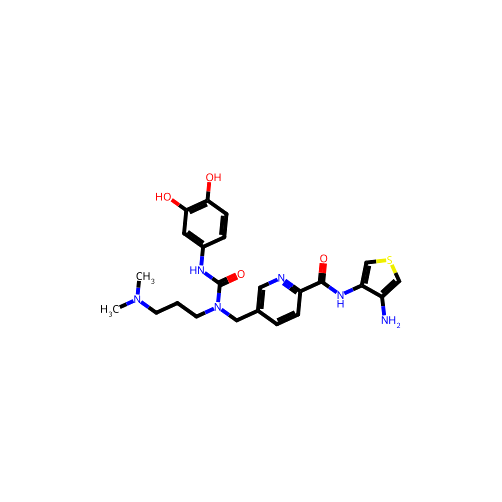 CN(C)CCCN(Cc1ccc(C(=O)Nc2cscc2N)nc1)C(=O)Nc1ccc(O)c(O)c1